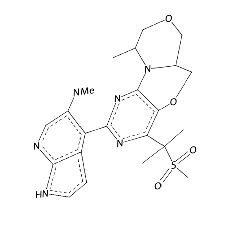 CNc1cnc2[nH]ccc2c1-c1nc2c(c(C(C)(C)S(C)(=O)=O)n1)OCC1COCC(C)N21